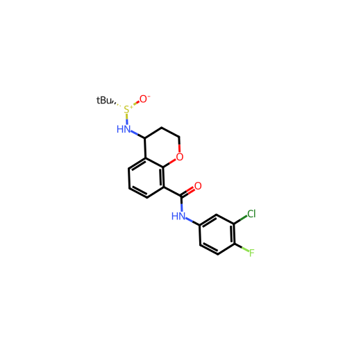 CC(C)(C)[S@+]([O-])NC1CCOc2c(C(=O)Nc3ccc(F)c(Cl)c3)cccc21